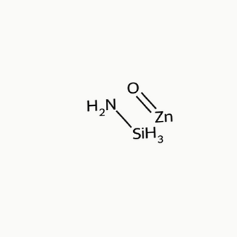 N[SiH3].[O]=[Zn]